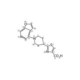 O=C(O)c1csc(C2CCN(c3cncc4occc34)CC2)n1